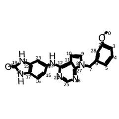 COc1cccc(Cn2ccc3c(Nc4ccc5[nH]c(=O)[nH]c5c4)ncnc32)c1